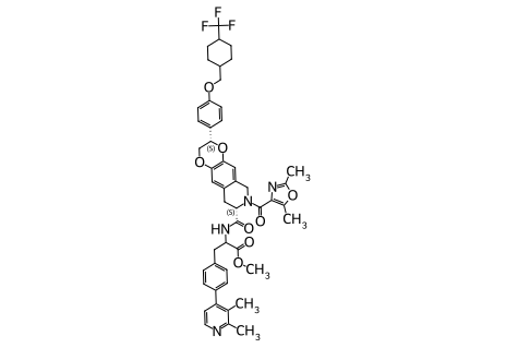 COC(=O)C(Cc1ccc(-c2ccnc(C)c2C)cc1)NC(=O)[C@@H]1Cc2cc3c(cc2CN1C(=O)c1nc(C)oc1C)O[C@@H](c1ccc(OCC2CCC(C(F)(F)F)CC2)cc1)CO3